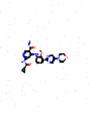 CNC(=O)c1cnc(NC(=O)C2CC2)cc1Nc1cccc(-c2ncc(N3CCOCC3)cn2)c1OC